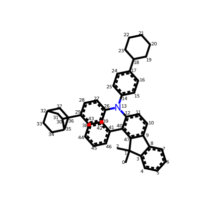 CC1(C)c2ccccc2-c2ccc(N(c3ccc(C4CCCCC4)cc3)c3ccc(C4CC5CCC4CC5)cc3)c(-c3ccccc3)c21